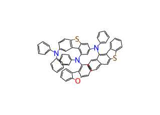 c1ccc(N(c2ccccc2)c2ccc3sc4cc(N(c5ccccc5)c5c6ccccc6cc6sc7ccccc7c56)cc(N(c5ccccc5)c5cccc6oc7ccccc7c56)c4c3c2)cc1